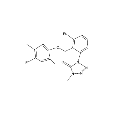 CCc1cccc(-n2nnn(C)c2=O)c1COc1cc(C)c(Br)cc1C